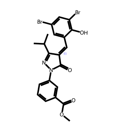 COC(=O)c1cccc(N2N=C(C(C)C)/C(=C\c3cc(Br)cc(Br)c3O)C2=O)c1